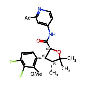 COc1c([C@@H]2[C@@H](C(=O)Nc3ccnc(C(C)=O)c3)OC(C)(C)[C@@H]2C)ccc(F)c1F